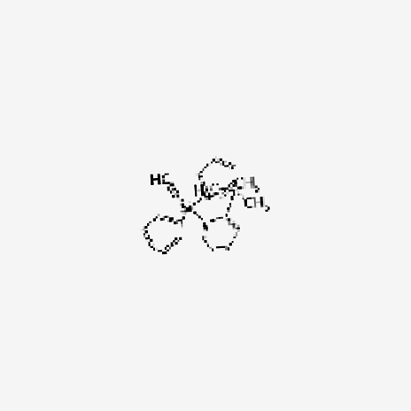 C#C[Si](c1ccccc1)(c1ccccc1)c1ccccc1C(C)(C)C